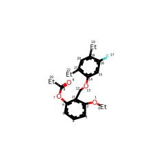 CCOc1cccc(OC(=O)CC)c1COc1cc(F)c(CC)cc1CC